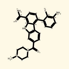 CN1CCN(C(=O)c2ccc3c(c2)[nH]c2c(C(N)=O)ccc(-c4cccc(N)c4F)c23)CC1